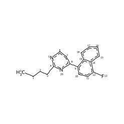 CCCCc1nccc(-c2ccc(F)c3ccccc23)n1